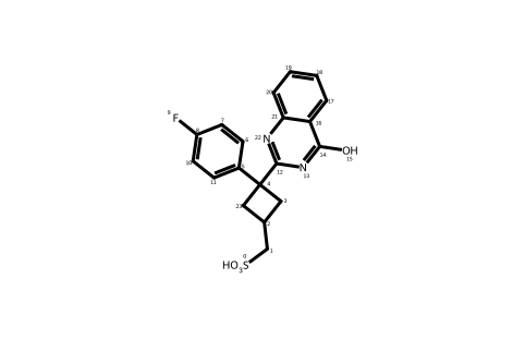 O=S(=O)(O)CC1CC(c2ccc(F)cc2)(c2nc(O)c3ccccc3n2)C1